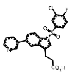 O=C(O)CCc1cn(S(=O)(=O)c2ccc(F)c(Cl)c2)c2ccc(-c3cccnc3)cc12